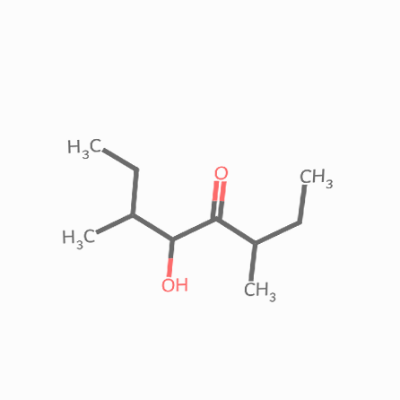 CCC(C)C(=O)C(O)C(C)CC